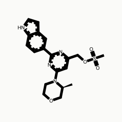 C[C@H]1COCCN1c1cc(COS(C)(=O)=O)nc(-c2ccc3[nH]ccc3c2)n1